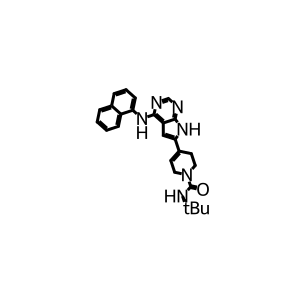 CC(C)(C)NC(=O)N1CC=C(c2cc3c(Nc4cccc5ccccc45)ncnc3[nH]2)CC1